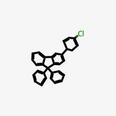 ClC1=CCC(c2ccc3c(c2)-c2ccccc2C3(c2ccccc2)c2ccccc2)C=C1